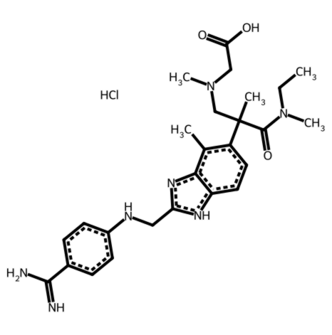 CCN(C)C(=O)C(C)(CN(C)CC(=O)O)c1ccc2[nH]c(CNc3ccc(C(=N)N)cc3)nc2c1C.Cl